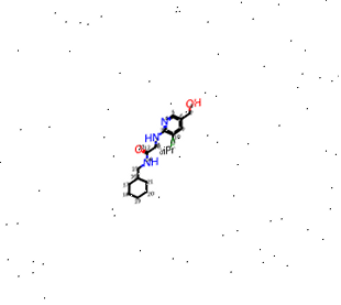 CC(C)[C@@H](Nc1ncc(CO)cc1F)C(=O)NCC1CCCCC1